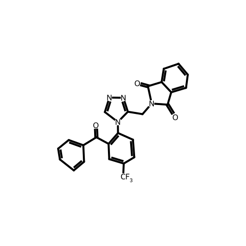 O=C(c1ccccc1)c1cc(C(F)(F)F)ccc1-n1cnnc1CN1C(=O)c2ccccc2C1=O